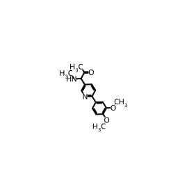 CNC(C(C)=O)c1ccc(-c2ccc(OC)c(OC)c2)nc1